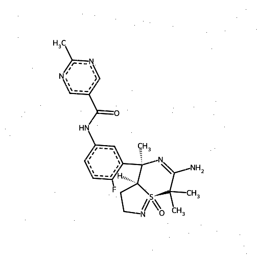 Cc1ncc(C(=O)Nc2ccc(F)c([C@@]3(C)N=C(N)C(C)(C)[S@@]4(=O)=NCC[C@@H]34)c2)cn1